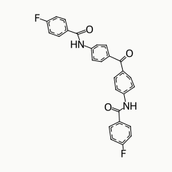 O=C(Nc1ccc(C(=O)c2ccc(NC(=O)c3ccc(F)cc3)cc2)cc1)c1ccc(F)cc1